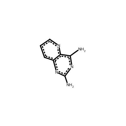 Nc1nc(N)c2n[c]ccc2n1